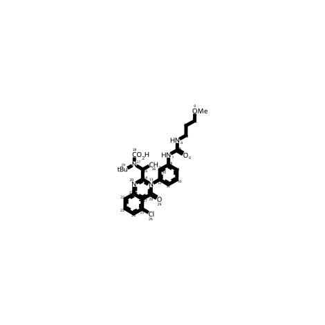 COCCCNC(=O)Nc1cccc(-n2c(C(C)N(C(=O)O)C(C)(C)C)nc3cccc(Cl)c3c2=O)c1